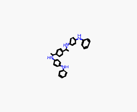 CC(Nc1ccc(Nc2ccccc2)cc1)c1ccc(C(C)Nc2ccc(Nc3ccccc3)cc2)cc1